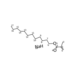 C=C(C)C(=O)OCCCCCCCCCCCC.[NaH]